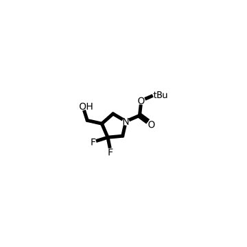 CC(C)(C)OC(=O)N1CC(CO)C(F)(F)C1